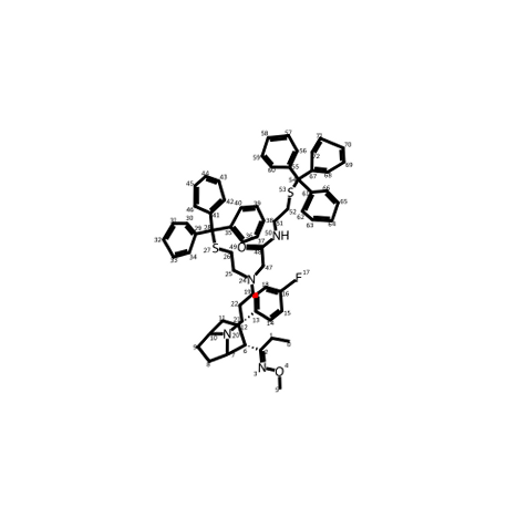 CC/C(=N\OC)[C@@H]1C2CCC(C[C@@H]1c1ccc(F)cc1)N2CCCN(CCSC(c1ccccc1)(c1ccccc1)c1ccccc1)CC(=O)NCCSC(c1ccccc1)(c1ccccc1)c1ccccc1